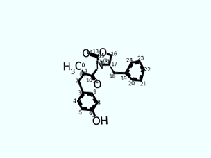 C[C@H](Cc1ccc(O)cc1)C(=O)N1C(=O)OC[C@H]1Cc1ccccc1